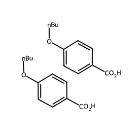 CCCCOc1ccc(C(=O)O)cc1.CCCCOc1ccc(C(=O)O)cc1